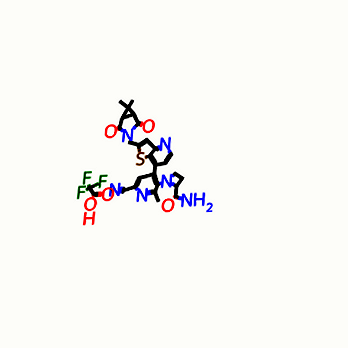 Cc1nc(C#N)cc(-c2ccnc3cc(CN4C(=O)C5C(C4=O)C5(C)C)sc23)c1N1CCC1C(N)=O.O=C(O)C(F)(F)F